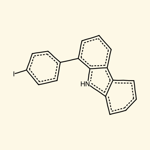 Ic1ccc(-c2cccc3c2[nH]c2ccccc23)cc1